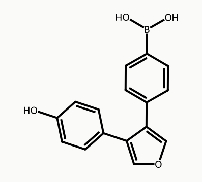 OB(O)c1ccc(-c2cocc2-c2ccc(O)cc2)cc1